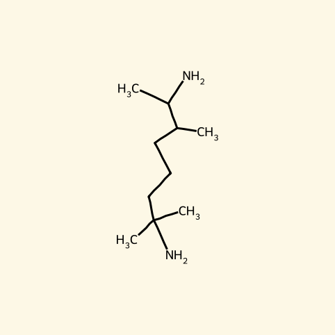 CC(N)C(C)CCCC(C)(C)N